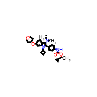 CC(OC(=O)Nc1ccc(-c2c(N(C)C)c3ccc(OC4CCOCC4)cc3n2C2CCC2)cc1)C1CC1